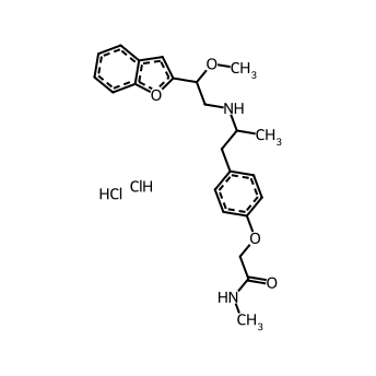 CNC(=O)COc1ccc(CC(C)NCC(OC)c2cc3ccccc3o2)cc1.Cl.Cl